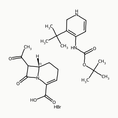 Br.CC(=O)C1C(=O)N2C(C(=O)O)=CCC[C@@H]12.CC(C)(C)OC(=O)NC1=C(C(C)(C)C)CNC=C1